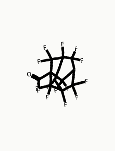 O=C(F)C12C(F)(F)C3C(F)(F)C(F)(C(F)(F)C(F)(C3(F)F)C1(F)F)C2(F)F